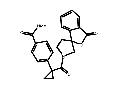 CNC(=O)c1ccc(C2(C(=O)N3CCC4(C3)OC(=O)c3ccccc34)CC2)cc1